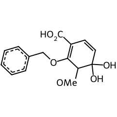 COC1C(OCc2ccccc2)=C(C(=O)O)C=CC1(O)O